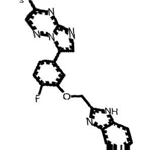 Fc1ccc(-c2cnc3nc(C(F)(F)F)cnn23)cc1OCc1nc2ccccc2[nH]1